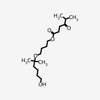 CC(C)C(=O)CCC(=O)OCCCCOC(C)(C)CCCCO